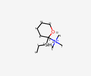 CC[SiH2]C1([N+](C)(C)C)CCCCO1